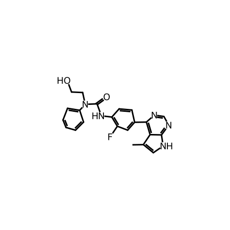 Cc1c[nH]c2ncnc(-c3ccc(NC(=O)N(CCO)c4ccccc4)c(F)c3)c12